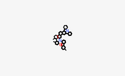 CC1=C(c2c(C)cccc2N(c2ccc3ccc4c(cc5c6ccccc6n6c7c(c4c56)CCC=C7)c3c2)c2cccc3c2oc2ccc(C)cc23)C=CCC1